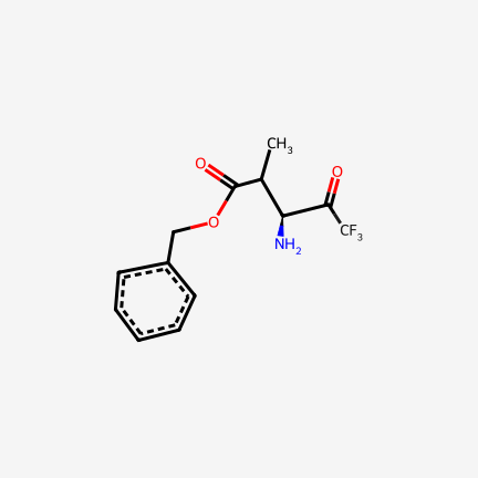 CC(C(=O)OCc1ccccc1)[C@H](N)C(=O)C(F)(F)F